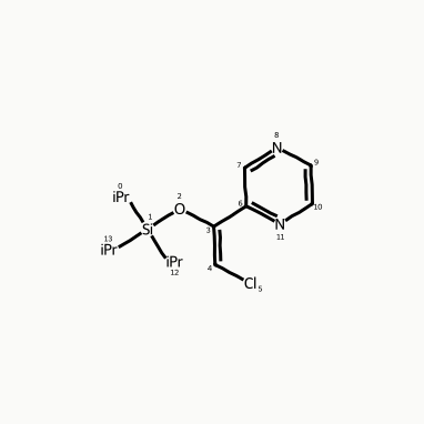 CC(C)[Si](O/C(=C/Cl)c1cnccn1)(C(C)C)C(C)C